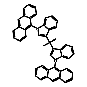 CC(C)(c1cn(-c2c3ccccc3cc3ccccc23)c2ccccc12)c1cn(-c2c3ccccc3cc3ccccc23)c2ccccc12